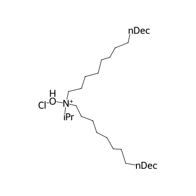 CCCCCCCCCCCCCCCCCC[N+](O)(CCCCCCCCCCCCCCCCCC)C(C)C.[Cl-]